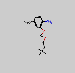 COc1ccc(N)c(OCOCC[Si](C)(C)C)c1